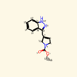 CC(C)(C)OC(=O)N1CC=C(c2n[nH]c3ccccc23)C1